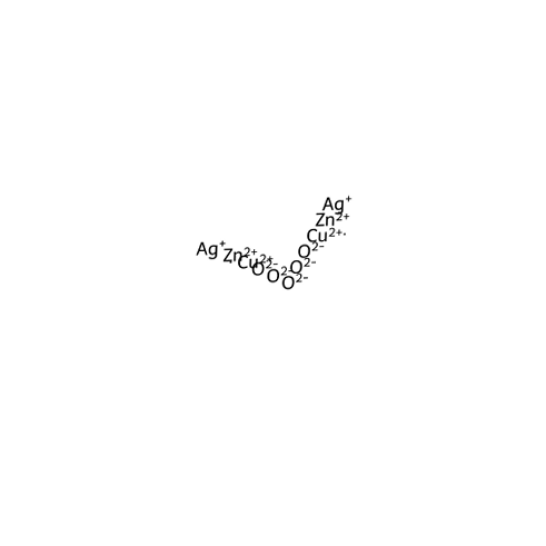 [Ag+].[Ag+].[Cu+2].[Cu+2].[O-2].[O-2].[O-2].[O-2].[O-2].[Zn+2].[Zn+2]